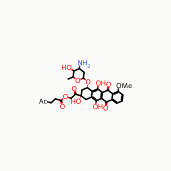 COc1cccc2c1C(=O)c1c(O)c3c(c(O)c1C2=O)C[C@@](O)(C(=O)COC(=O)CCC(C)=O)C[C@@H]3OC1CC(N)C(O)C(C)O1